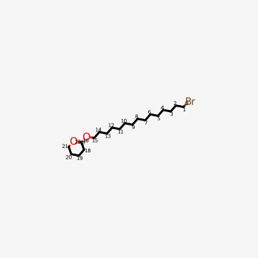 BrCCCCCCCCCCCCCCCOC1CCCCO1